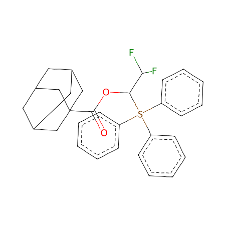 O=C(OC(C(F)F)S(c1ccccc1)(c1ccccc1)c1ccccc1)C12CC3CC(CC(C3)C1)C2